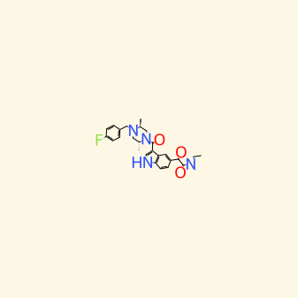 CCN(C)C(=O)C(=O)c1ccc2[nH]cc(C(=O)N3C[C@H](C)N(Cc4ccc(F)cc4)C[C@H]3C)c2c1